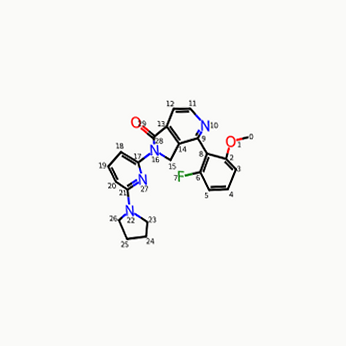 COc1cccc(F)c1-c1nccc2c1CN(c1cccc(N3CCCC3)n1)C2=O